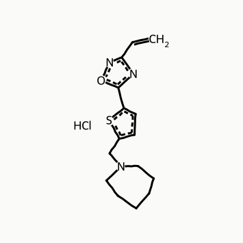 C=Cc1noc(-c2ccc(CN3CCCCCC3)s2)n1.Cl